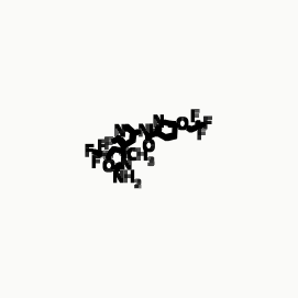 C[C@@]1(c2cc(NC(=O)c3ccc(OCC(F)(F)F)cn3)cnc2F)C[C@@H](C(F)(F)F)OC(N)=N1